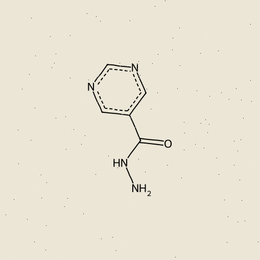 NNC(=O)c1cncnc1